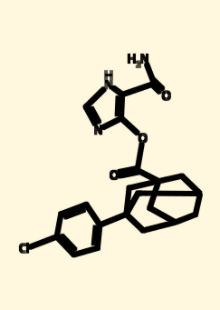 NC(=O)c1[nH]cnc1OC(=O)C12CC3CC(C1)CC(c1ccc(Cl)cc1)(C3)C2